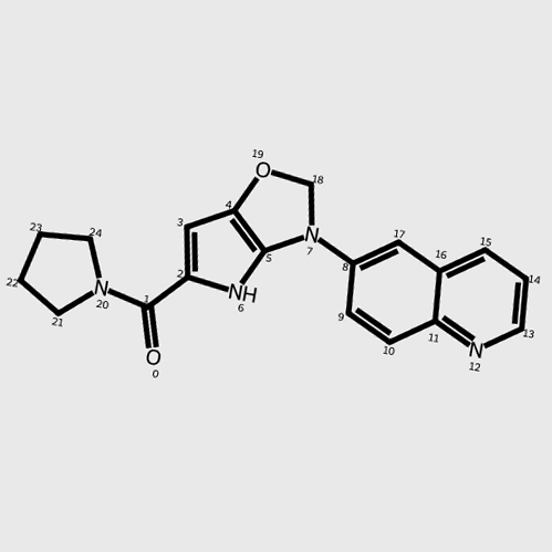 O=C(c1cc2c([nH]1)N(c1ccc3ncccc3c1)CO2)N1CCCC1